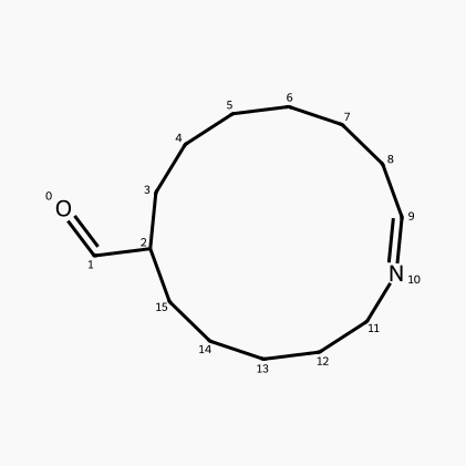 O=CC1CCCCCC/C=N\CCCCC1